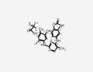 COc1cc(Nc2ncc(C)c(Nc3ccc4oc(=O)[nH]c4c3)n2)c(F)cc1C.O=C(O)C(F)(F)F